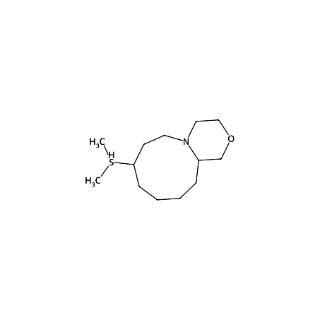 C[SH](C)C1CCCCC2COCCN2CC1